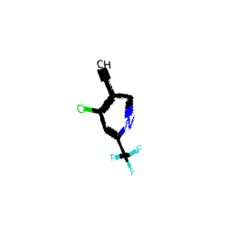 C#Cc1cnc(C(F)(F)F)cc1Cl